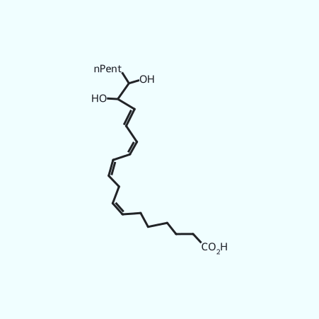 CCCCCC(O)C(O)/C=C/C=C\C=C/C/C=C\CCCCCC(=O)O